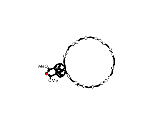 COC(=O)C1=CC2=CC(=C1)C21OCCOCCOCCOCCOCCCOCCOCCOCCOCCOCC12c1cc(C(=O)OC)cc2c1